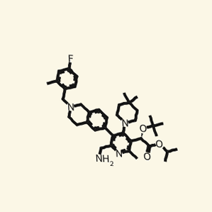 Cc1cc(F)ccc1CN1CCc2cc(-c3c(CN)nc(C)c([C@H](OC(C)(C)C)C(=O)OC(C)C)c3N3CCC(C)(C)CC3)ccc2C1